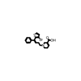 O=C(O)C1=CCCN(CCC=C(c2ccccc2)c2sccc2Br)C1